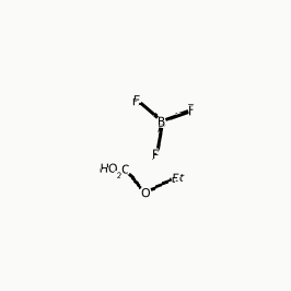 CCOC(=O)O.FB(F)F